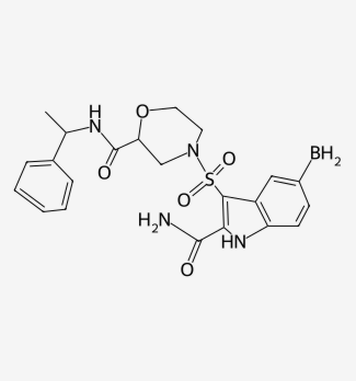 Bc1ccc2[nH]c(C(N)=O)c(S(=O)(=O)N3CCOC(C(=O)NC(C)c4ccccc4)C3)c2c1